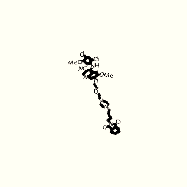 COc1cc(Nc2c(C#N)cnc3cc(OCCOCCN4CCN(CCCCN5C(=O)c6ccccc6C5=O)CC4)c(OC)cc23)c(Cl)cc1Cl